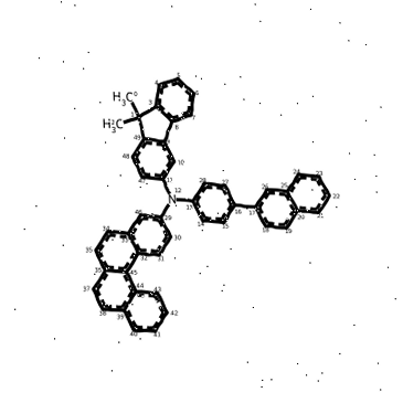 CC1(C)c2ccccc2-c2cc(N(c3ccc(-c4ccc5ccccc5c4)cc3)c3ccc4c(ccc5ccc6ccccc6c54)c3)ccc21